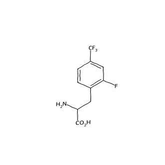 NC(Cc1ccc(C(F)(F)F)cc1F)C(=O)O